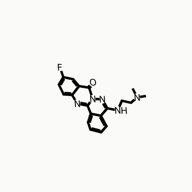 CN(C)CCNc1nn2c(=O)c3cc(F)ccc3nc2c2ccccc12